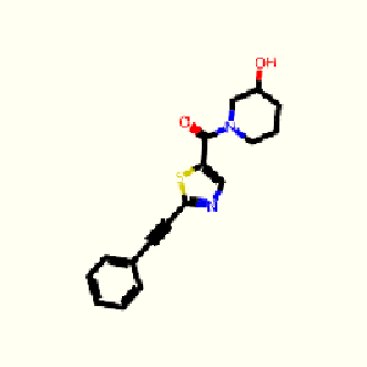 O=C(c1cnc(C#Cc2ccccc2)s1)N1CCCC(O)C1